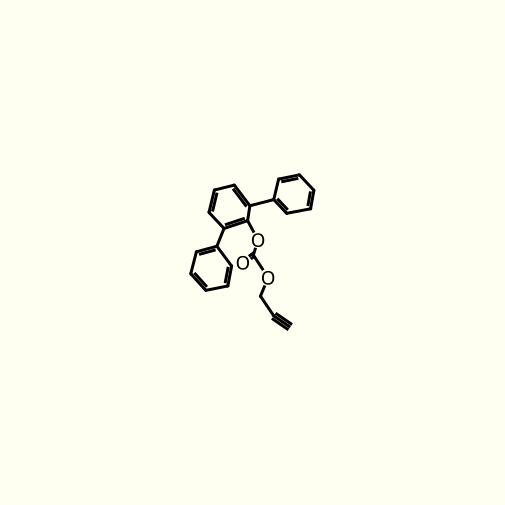 C#CCOC(=O)Oc1c(-c2ccccc2)cccc1-c1ccccc1